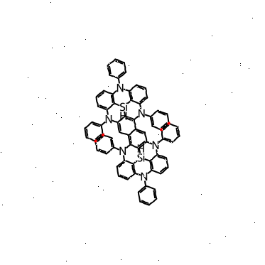 c1ccc(N2c3cccc4c3[SiH]3c5c2cccc5N(c2ccccc2)c2c3c(cc3c5c6c(cc23)N(c2ccccc2)c2cccc3c2[SiH]6c2c(cccc2N5c2ccccc2)N3c2ccccc2)N4c2ccccc2)cc1